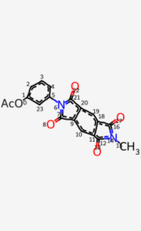 CC(=O)Oc1cccc(-n2c(=O)c3cc4c(=O)n(C)c(=O)c4cc3c2=O)c1